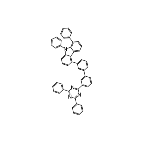 c1ccc(-c2nc(-c3ccccc3)nc(-c3cccc(-c4cccc(-c5cccc6c5c5cccc(-c7ccccc7)c5n6-c5ccccc5)c4)c3)n2)cc1